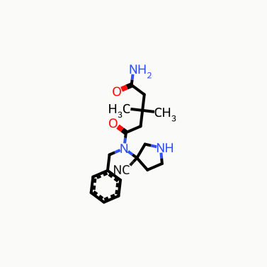 CC(C)(CC(N)=O)CC(=O)N(Cc1ccccc1)C1(C#N)CCNC1